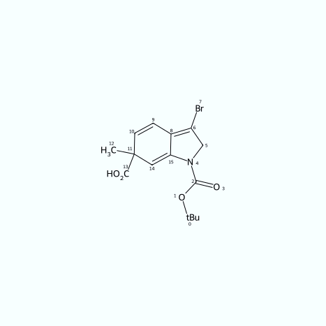 CC(C)(C)OC(=O)N1CC(Br)=C2C=CC(C)(C(=O)O)C=C21